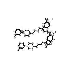 Cc1cccc(N2CCN(CCCCc3c(C)[nH]c4ccc(C(=O)O)cc34)CC2)c1.Cc1cccc(N2CCN(CCCCc3c[nH]c4ccc(C(=O)O)cc34)CC2)c1